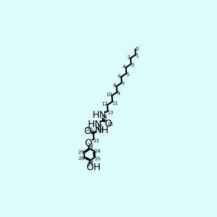 CCCCCCCCCCCCCCNC(=O)NNC(=O)COc1ccc(O)cc1